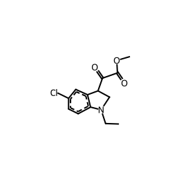 CCN1CC(C(=O)C(=O)OC)c2cc(Cl)ccc21